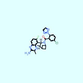 Cc1nc2c([C@H]3[C@H](C)C4CC(C4)N3C(=O)c3cc(Cl)ccc3-n3nccn3)c(F)ccc2nc1N